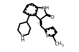 Cc1ccc(/C=C2\C(=O)Nc3cccc(C4CCNCC4)c32)s1